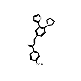 O=C(O)c1ccc(C(=O)C=Cc2ccc(N3CCCC3)c(-c3cccs3)c2)cc1